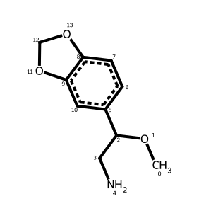 COC(CN)c1ccc2c(c1)OCO2